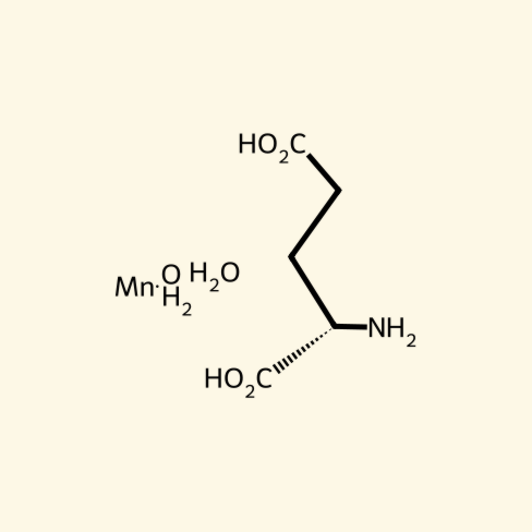 N[C@@H](CCC(=O)O)C(=O)O.O.O.[Mn]